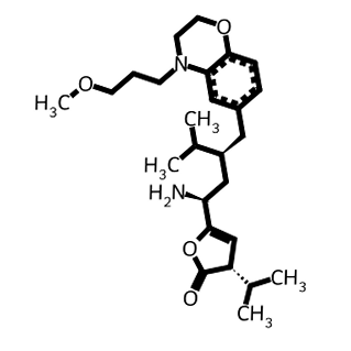 COCCCN1CCOc2ccc(C[C@@H](C[C@H](N)C3=C[C@H](C(C)C)C(=O)O3)C(C)C)cc21